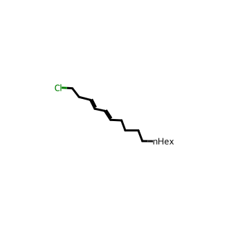 CCCCCCCCCCC=CC=CCCCl